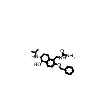 CC(C)N[C@@H]1CCc2c(ccc(OCc3ccccc3)c2CNC(N)=O)[C@H]1O